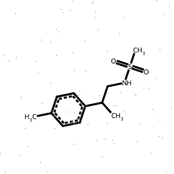 Cc1ccc(C(C)CNS(C)(=O)=O)cc1